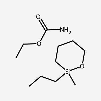 CCC[Si]1(C)CCCCO1.CCOC(N)=O